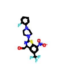 O=CC1N=C(N2CCN(c3ccccc3F)CC2)Sc2c1cc(C(F)(F)F)cc2[N+](=O)[O-]